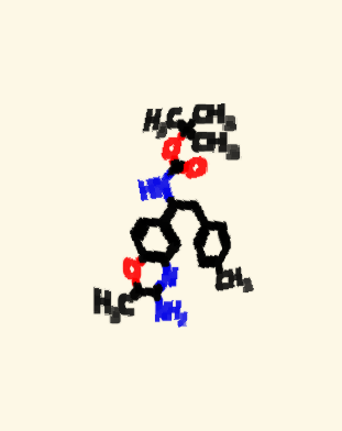 Cc1ccc(CC(NC(=O)OC(C)(C)C)c2ccc3c(c2)N=C(N)C(C)O3)cc1